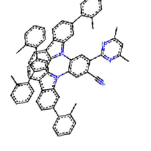 Cc1cc(C)nc(-c2cc(-n3c4cc(-c5ccccc5C)ccc4c4ccc(-c5ccccc5C)cc43)c(-n3c4cc(-c5ccccc5C)ccc4c4ccc(-c5ccccc5C)cc43)cc2C#N)n1